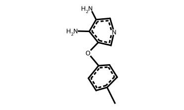 Cc1ccc(Oc2cncc(N)c2N)cc1